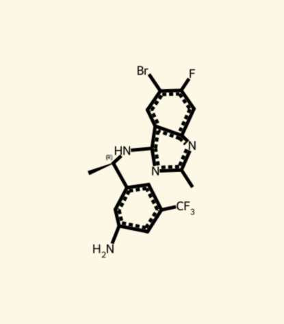 Cc1nc(N[C@H](C)c2cc(N)cc(C(F)(F)F)c2)c2cc(Br)c(F)cc2n1